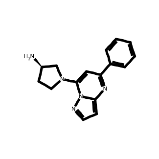 N[C@@H]1CCN(c2cc(-c3ccccc3)nc3ccnn23)C1